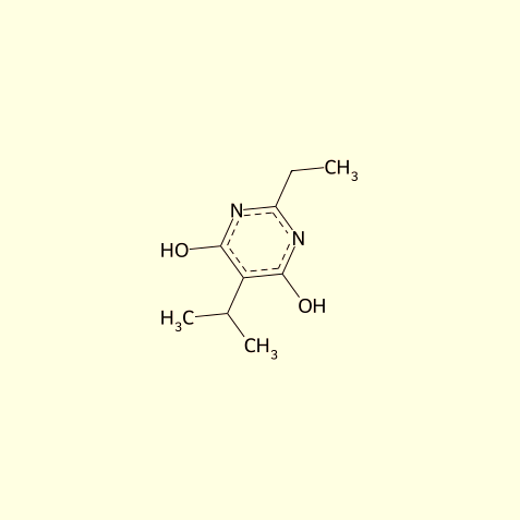 CCc1nc(O)c(C(C)C)c(O)n1